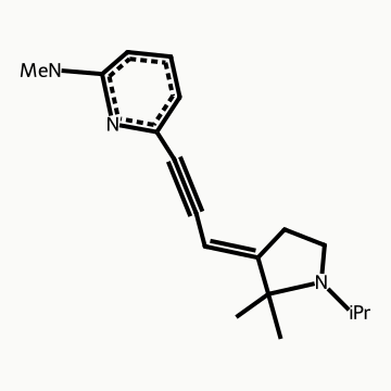 CNc1cccc(C#C/C=C2\CCN(C(C)C)C2(C)C)n1